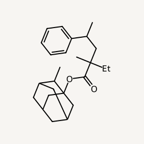 CCC(C)(CC(C)c1ccccc1)C(=O)OC12CC3CC(CC(C3)C1C)C2